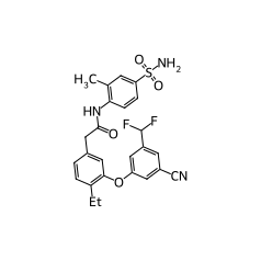 CCc1ccc(CC(=O)Nc2ccc(S(N)(=O)=O)cc2C)cc1Oc1cc(C#N)cc(C(F)F)c1